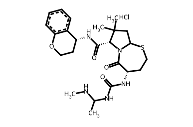 CNC(C)NC(=O)N[C@H]1CCSC2CC(C)(C)[C@@H](C(=O)N[C@@H]3CCOc4ccccc43)N2C1=O.Cl